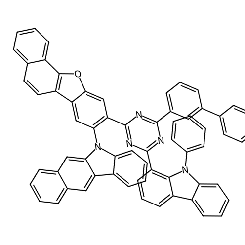 c1ccc(-c2cccc(-c3nc(-c4cc5oc6c7ccccc7ccc6c5cc4-n4c5ccccc5c5cc6ccccc6cc54)nc(-c4cccc5c6ccccc6n(-c6ccccc6)c45)n3)c2)cc1